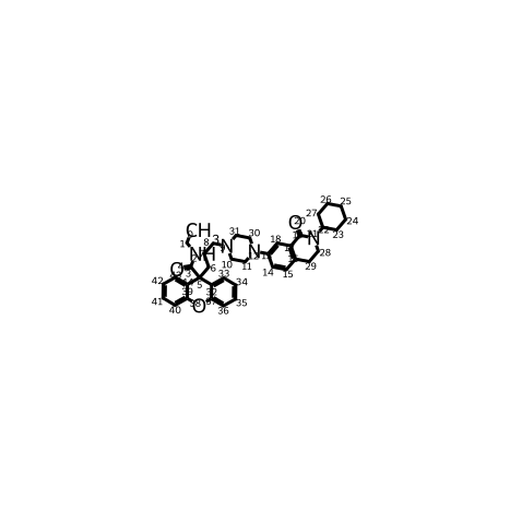 CCNC(=O)C1(CCCN2CCN(c3ccc4c(c3)C(=O)N(C3CCCCC3)CC4)CC2)c2ccccc2Oc2ccccc21